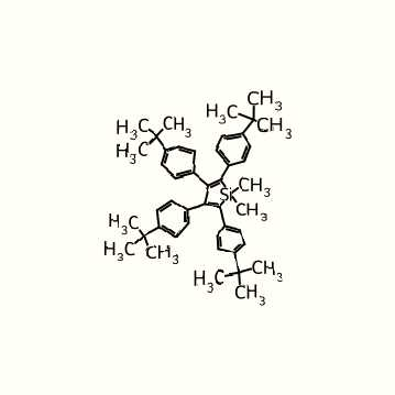 CC(C)(C)c1ccc(C2=C(c3ccc(C(C)(C)C)cc3)[Si](C)(C)C(c3ccc(C(C)(C)C)cc3)=C2c2ccc(C(C)(C)C)cc2)cc1